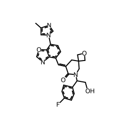 Cc1cn(-c2ccc(/C=C3\CC4(COC4)CN(C(CO)c4ccc(F)cc4)C3=O)c3ncoc23)cn1